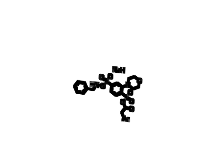 CC(=O)CC(=O)OS(=O)(=O)c1ccc(S(=O)(=O)ONCc2ccccc2)cc1N1CCOCC1.[NaH]